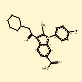 COC(=O)c1ccc2c(C(=O)CN3CCCCC3)c(C)n(-c3ccc(C)cc3)c2c1